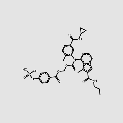 CCCNC(=O)c1cn2ncnc(N(C(=O)OCOC(=O)c3ccc(OP(=O)(O)O)cc3)c3cc(C(=O)NC4CC4)ccc3C)c2c1C